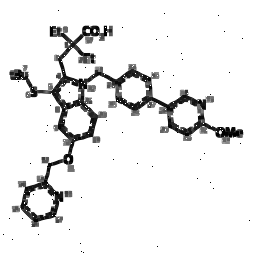 CCC(CC)(Cc1c(SC(C)(C)C)c2cc(OCc3ccccn3)ccc2n1Cc1ccc(-c2ccc(OC)nc2)cc1)C(=O)O